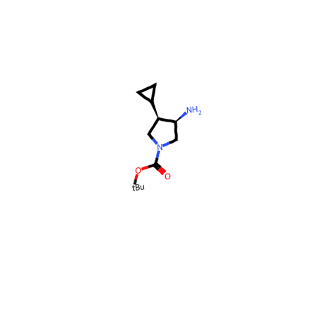 CC(C)(C)OC(=O)N1C[C@H](N)[C@H](C2CC2)C1